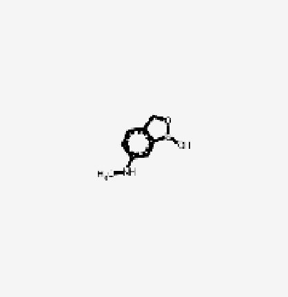 CNc1ccc2c(c1)B(O)OC2